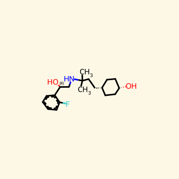 CC(C)(CC[C@H]1CC[C@@H](O)CC1)NC[C@H](O)c1ccccc1F